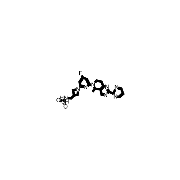 CC1c2cnc(-c3ncccn3)nc2CCN1c1cc(F)cc(N2CC(CN[SH](=O)=O)C2)n1